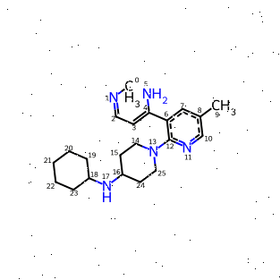 C/N=C\C=C(/N)c1cc(C)cnc1N1CCC(NC2CCCCC2)CC1